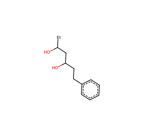 CCC(O)CC(O)CCc1ccccc1